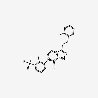 Cc1c(-n2ccn3c(SCc4ccccc4I)nnc3c2=O)cccc1C(F)(F)F